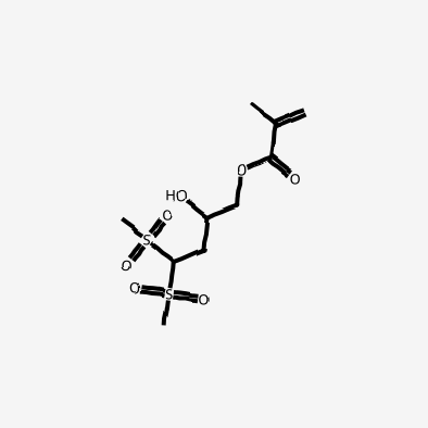 C=C(C)C(=O)OCC(O)CC(S(C)(=O)=O)S(C)(=O)=O